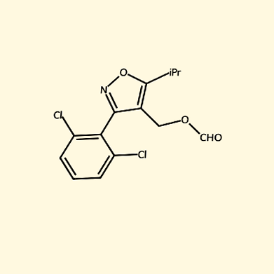 CC(C)c1onc(-c2c(Cl)cccc2Cl)c1COC=O